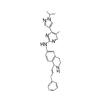 Cc1cnc(Nc2ccc3c(c2)CCNC3C=CCc2ccccc2)nc1-c1cnn(C(C)C)c1